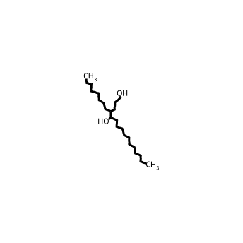 CCCCCCCCCCCC(O)C(CCCO)CCCCCCCC